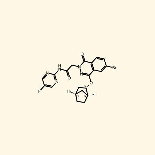 O=C(Cn1nc(O[C@H]2C[C@@H]3CC[C@H]2C3)c2cc(Br)ccc2c1=O)Nc1ncc(F)cn1